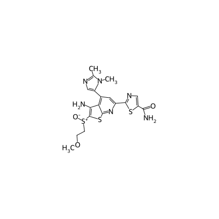 COCC[S+]([O-])c1sc2nc(-c3ncc(C(N)=O)s3)cc(-c3cnc(C)n3C)c2c1N